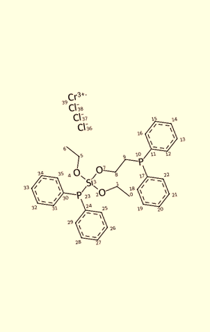 CCO[Si](OCC)(OCCP(c1ccccc1)c1ccccc1)P(c1ccccc1)c1ccccc1.[Cl-].[Cl-].[Cl-].[Cr+3]